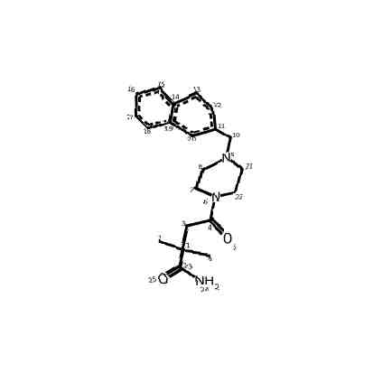 CC(C)(CC(=O)N1CCN(Cc2ccc3ccccc3c2)CC1)C(N)=O